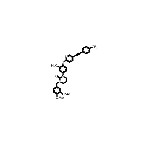 COc1ccc(CN2CCCN(c3ccc(Oc4ccc(C#Cc5ccc(C(F)(F)F)cc5)cn4)c(C)c3)C2=O)cc1OC